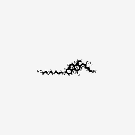 CC(C)CCC[C@@H](C)[C@H]1CC[C@H]2[C@@H]3CC=C4CC(OCCCOCOCCO)CC[C@]4(C)[C@H]3CC[C@]12C